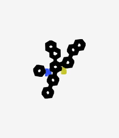 C1=c2ccccc2=CC(c2cc3c(c4ccc(-c5ccccc5)cc4n3-c3ccccc3)c3sc4ccc(-c5ccc6ccccc6c5)cc4c23)C1